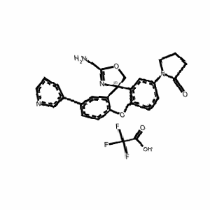 NC1=N[C@@]2(CO1)c1cc(-c3cccnc3)ccc1Oc1ccc(N3CCCC3=O)cc12.O=C(O)C(F)(F)F